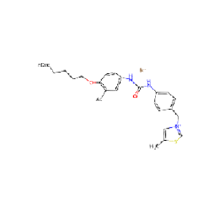 CCCCCCCCCCCCCCOc1ccc(NC(=O)Nc2ccc(C[n+]3csc(C)c3)cc2)cc1C(C)=O.[Br-]